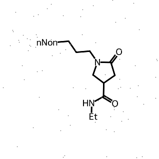 CCCCCCCCCCCCN1CC(C(=O)NCC)CC1=O